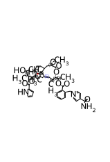 CO[C@H]1CC2C=C[C@@H]3C[C@]2(O[C@H]3[C@H](OC(=O)c2ccc[nH]2)[C@H](C)[C@H](C)O)/C(C)=C/[C@@H](C)[C@@H]([C@@H](C)OC(=O)c2ccccc2C[n+]2ccc(C(N)=O)cc2)OC1=O